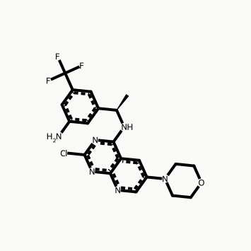 C[C@@H](Nc1nc(Cl)nc2ncc(N3CCOCC3)cc12)c1cc(N)cc(C(F)(F)F)c1